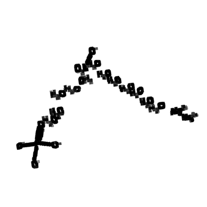 O.O.O.O.O.O.O.O.O.O.O.O.O=P([O-])([O-])[O-].O=[N+]([O-])[O-].[Mg+2].[Mg+2]